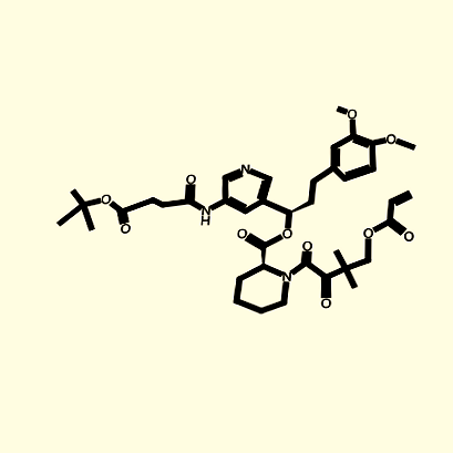 C=CC(=O)OCC(C)(C)C(=O)C(=O)N1CCCC[C@H]1C(=O)O[C@H](CCc1ccc(OC)c(OC)c1)c1cncc(NC(=O)CCC(=O)OC(C)(C)C)c1